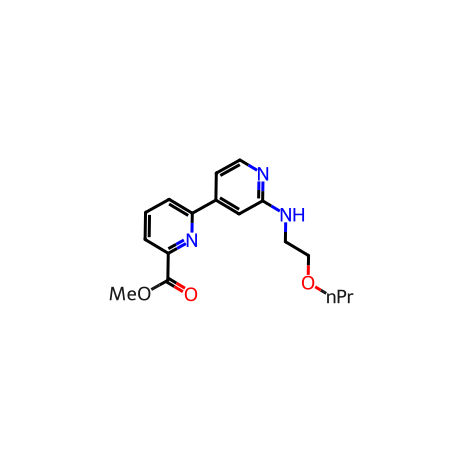 CCCOCCNc1cc(-c2cccc(C(=O)OC)n2)ccn1